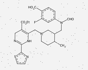 CCOC(=O)C1=C(CN2CCC(C)C(CN(C=O)c3ccc(C(=O)O)c(F)c3)C2)NC(c2nccs2)=NC1